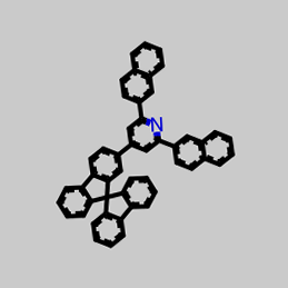 c1ccc2c(c1)-c1ccccc1C21c2ccccc2-c2ccc(-c3cc(-c4ccc5ccccc5c4)nc(-c4ccc5ccccc5c4)c3)cc21